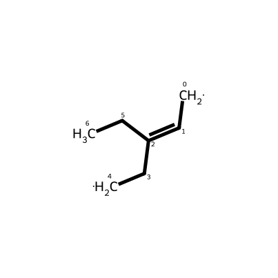 [CH2]C=C(C[CH2])CC